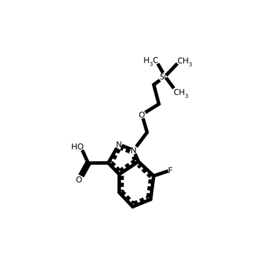 C[Si](C)(C)CCOCn1nc(C(=O)O)c2cccc(F)c21